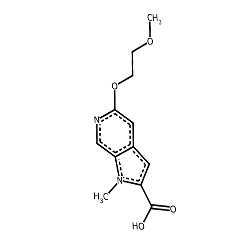 COCCOc1cc2cc(C(=O)O)n(C)c2cn1